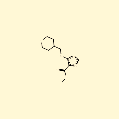 COC(=O)c1ncsc1NCC1CCOCC1